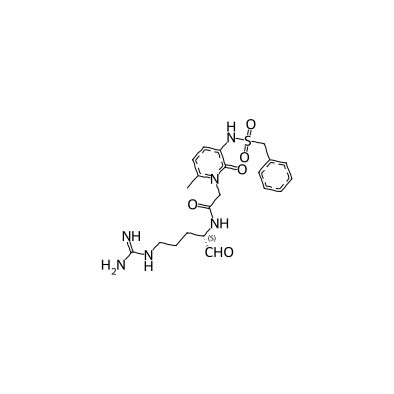 Cc1ccc(NS(=O)(=O)Cc2ccccc2)c(=O)n1CC(=O)N[C@H](C=O)CCCNC(=N)N